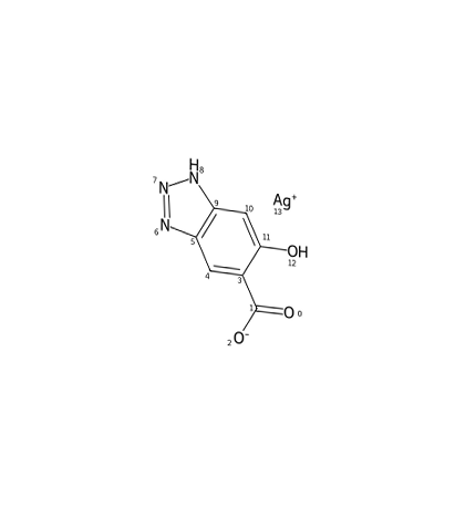 O=C([O-])c1cc2nn[nH]c2cc1O.[Ag+]